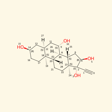 C#C[C@]1(O)[C@H](O)C[C@H]2[C@@H]3[C@@H](O)C[C@@H]4C[C@H](O)CC[C@]4(C)[C@H]3CC[C@@]21C